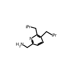 CC(C)Cc1ccc(CN)nc1CC(C)C